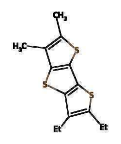 CCc1sc2c(sc3c(C)c(C)sc32)c1CC